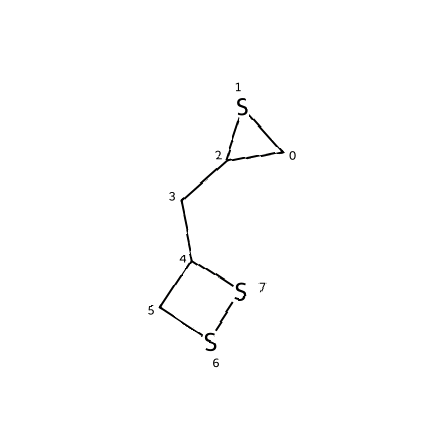 C1SC1CC1CSS1